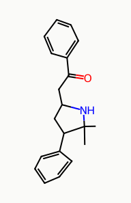 CC1(C)NC(CC(=O)c2ccccc2)CC1c1ccccc1